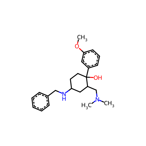 COc1cccc(C2(O)CCC(NCc3ccccc3)CC2CN(C)C)c1